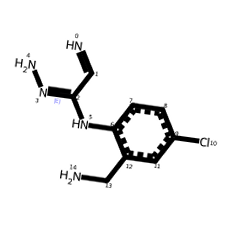 N=C/C(=N\N)Nc1ccc(Cl)cc1CN